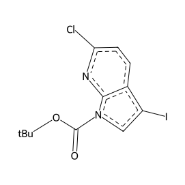 CC(C)(C)OC(=O)n1cc(I)c2ccc(Cl)nc21